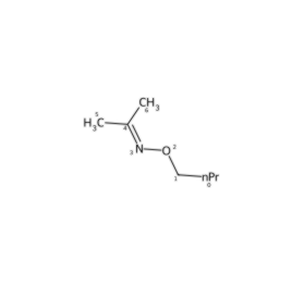 CCCCON=C(C)C